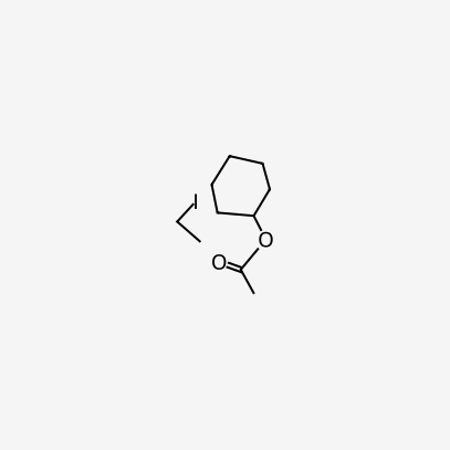 CC(=O)OC1CCCCC1.CCI